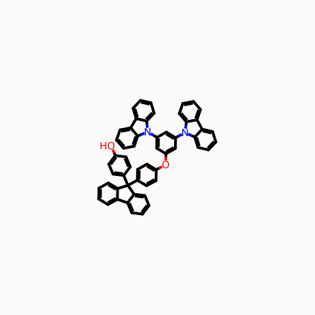 Oc1ccc(C2(c3ccc(Oc4cc(-n5c6ccccc6c6ccccc65)cc(-n5c6ccccc6c6ccccc65)c4)cc3)c3ccccc3-c3ccccc32)cc1